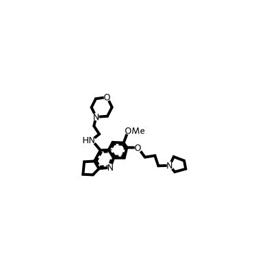 COc1cc2c(NCCN3CCOCC3)c3c(nc2cc1OCCCN1CCCC1)CCC3